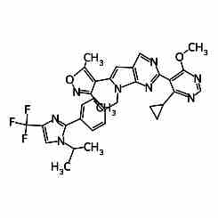 COc1ncnc(C2CC2)c1-c1ncc2cc(-c3c(C)noc3C)n(Cc3ccc(-c4nc(C(F)(F)F)cn4C(C)C)cc3)c2n1